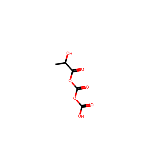 CC(O)C(=O)OC(=O)OC(=O)O